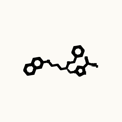 NC(=O)c1cn(C[C@H](CCCOc2ccc3ccccc3c2)OCc2ccccc2)cn1